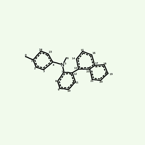 Cc1ccc(N(C)c2ccccc2-c2cccc3ccccc23)cc1